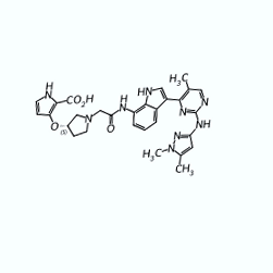 Cc1cnc(Nc2cc(C)n(C)n2)nc1-c1c[nH]c2c(NC(=O)CN3CC[C@H](Oc4cc[nH]c4C(=O)O)C3)cccc12